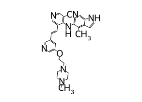 Cc1c(Nc2c(C#N)cncc2/C=C/c2cncc(OCCN3CCN(C)CC3)c2)ccc2[nH]ccc12